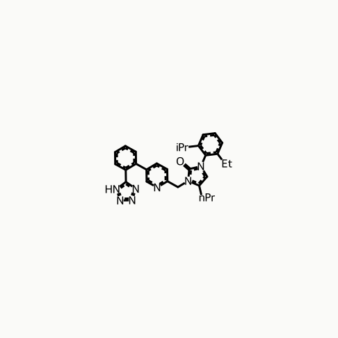 CCCc1cn(-c2c(CC)cccc2C(C)C)c(=O)n1Cc1ccc(-c2ccccc2-c2nnn[nH]2)cn1